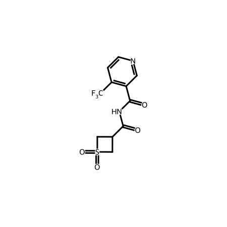 O=C(NC(=O)C1CS(=O)(=O)C1)c1cnccc1C(F)(F)F